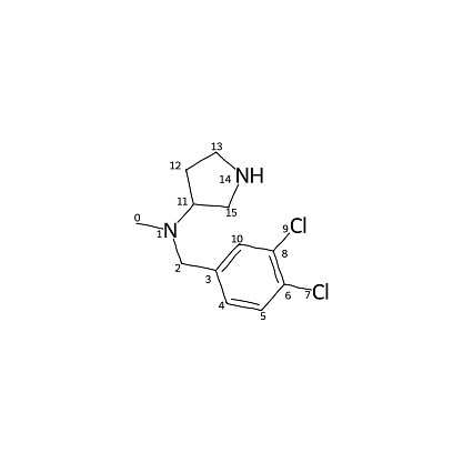 CN(Cc1ccc(Cl)c(Cl)c1)C1CCNC1